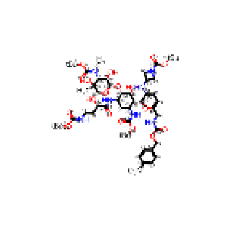 CN(C(=O)OC(C)(C)C)[C@@H]1[C@@H](O)[C@@H](O[C@H]2[C@H](NC(=O)[C@@H](O)CCNC(=O)OC(C)(C)C)C[C@H](NC(=O)OC(C)(C)C)C([C@H]3OC(CNC(=O)OCc4ccc([N+](=O)[O-])cc4)=CC[C@H]3NC3CN(C(=O)OC(C)(C)C)C3)[C@@H]2O)OC[C@]1(C)O